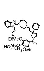 CCOCCn1c(N2CCCN(CCC3(c4ccccc4)CCN(C(=O)c4cc(OC)c(OC)c(OC)c4)C3)CC2)nc2ccccc21.CS(=O)(=O)O